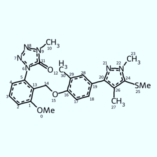 COc1cccc(-n2nnn(C)c2=O)c1COc1ccc(-c2nn(C)c(SC)c2C)cc1C